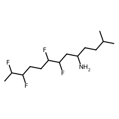 CC(C)CCC(N)CC(F)C(F)CCC(F)C(C)F